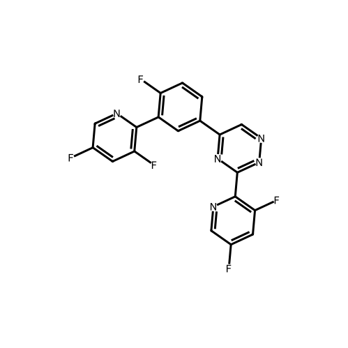 Fc1cnc(-c2nncc(-c3ccc(F)c(-c4ncc(F)cc4F)c3)n2)c(F)c1